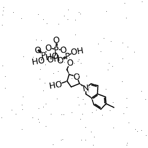 Cc1ccc2c(c1)C=CN([C@H]1CC(O)[C@@H](COP(=O)(O)OP(=O)(O)OP(=O)(O)O)O1)C2